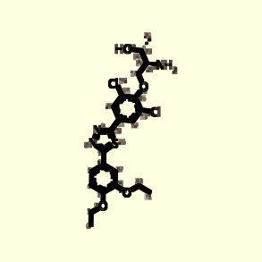 CCOc1ccc(-c2nnc(-c3cc(Cl)c(OC[C@H](N)[C@@H](C)O)c(Cl)c3)s2)cc1OCC